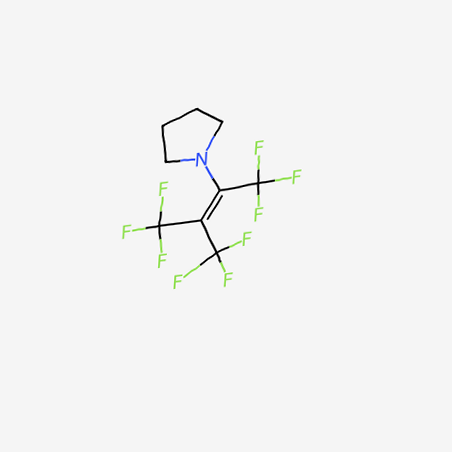 FC(F)(F)C(=C(C(F)(F)F)C(F)(F)F)N1CCCC1